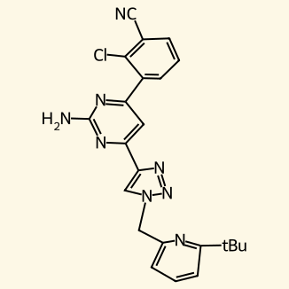 CC(C)(C)c1cccc(Cn2cc(-c3cc(-c4cccc(C#N)c4Cl)nc(N)n3)nn2)n1